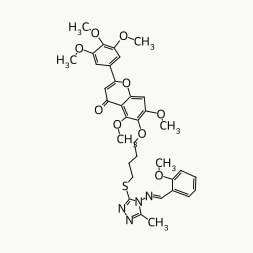 COc1ccccc1C=Nn1c(C)nnc1SCCCCOc1c(OC)cc2oc(-c3cc(OC)c(OC)c(OC)c3)cc(=O)c2c1OC